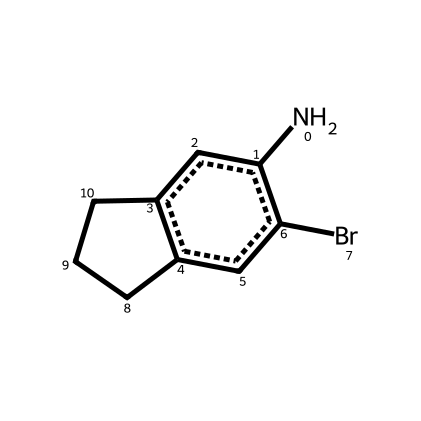 Nc1cc2c(cc1Br)CCC2